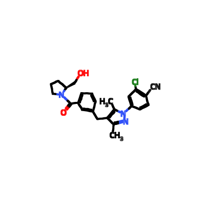 Cc1nn(-c2ccc(C#N)c(Cl)c2)c(C)c1Cc1cccc(C(=O)N2CCC[C@H]2CO)c1